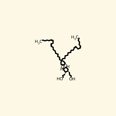 CCCCC/C=C\C/C=C\CCCCCCCCC1(CCCCCCCC/C=C\C/C=C\CCCCC)CCC2(CC1)O[C@H]1C[C@@H](CCCO)[C@@H](CCCO)C[C@@H]1O2